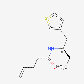 C=CCCC(=O)N[C@H](CC(=O)O)Cc1ccsc1